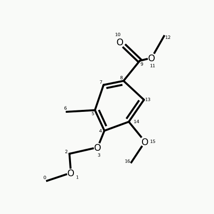 COCOc1c(C)cc(C(=O)OC)cc1OC